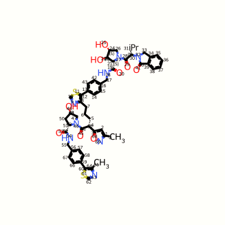 Cc1cc([C@@H](CCCc2ncsc2-c2ccc(CNC(=O)[C@@H]3[C@@H](O)[C@@H](O)CN3C(=O)[C@H](C(C)C)N3Cc4ccccc4C3=O)cc2)C(=O)N2C[C@H](O)C[C@H]2C(=O)NCc2ccc(-c3scnc3C)cc2)on1